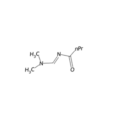 CCCC(=O)N=CN(C)C